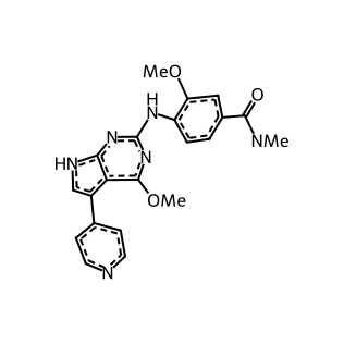 CNC(=O)c1ccc(Nc2nc(OC)c3c(-c4ccncc4)c[nH]c3n2)c(OC)c1